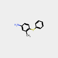 Cc1cc(N)ccc1Sc1ccccc1